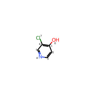 Oc1ccncc1Cl